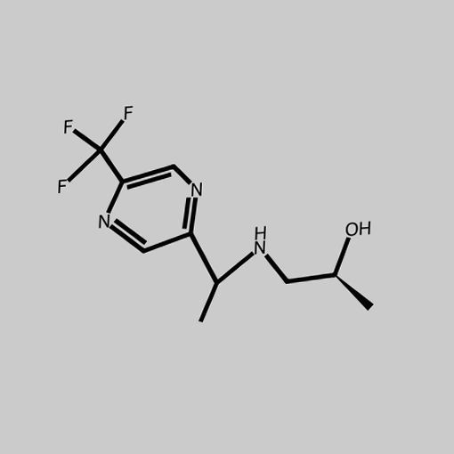 CC(NC[C@H](C)O)c1cnc(C(F)(F)F)cn1